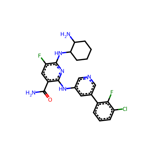 NC(=O)c1cc(F)c(NC2CCCCC2N)nc1Nc1cncc(-c2cccc(Cl)c2F)c1